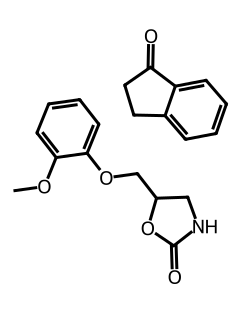 COc1ccccc1OCC1CNC(=O)O1.O=C1CCc2ccccc21